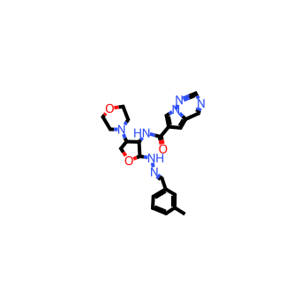 Cc1cccc(/C=N/NC2OCC(N3CCOCC3)C2NC(=O)c2cc3cncnn3c2)c1